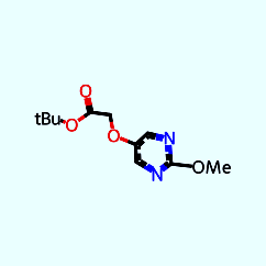 COc1ncc(OCC(=O)OC(C)(C)C)cn1